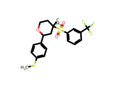 CSc1ccc(C2CC(C)(S(=O)(=O)c3cccc(C(F)(F)F)c3)CCO2)cc1